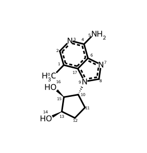 Cc1cnc(N)c2ncn([C@@H]3CC[C@@H](O)[C@H]3O)c12